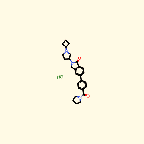 Cl.O=C(c1ccc(-c2ccc3c(c2)CN(C2CCN(C4CCC4)C2)C3=O)cc1)N1CCCC1